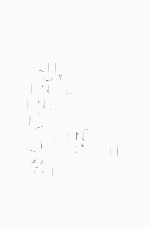 CCCC(=O)N(C=O)OC(=O)OCC1c2cc(NC(=O)C(C)NC(=O)OC)ccc2-c2ccc(S(=O)(=O)O)cc21